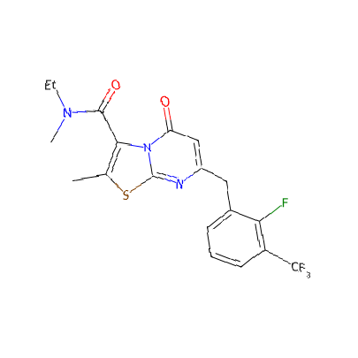 CCN(C)C(=O)c1c(C)sc2nc(Cc3cccc(C(F)(F)F)c3F)cc(=O)n12